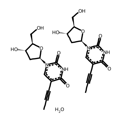 CC#Cc1cn([C@H]2C[C@H](O)[C@@H](CO)O2)c(=O)[nH]c1=O.CC#Cc1cn([C@H]2C[C@H](O)[C@@H](CO)O2)c(=O)[nH]c1=O.O